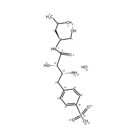 CC(C)C[C@@H](CO)NC(=O)[C@@H](O)[C@H](N)Cc1ccc(S(C)(=O)=O)cc1.Cl